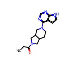 N#CCC(=O)N1CC2CCN(c3ncnc4[nH]ccc34)CC2C1